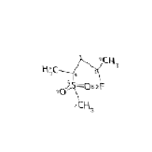 CC(F)CC(C)S(C)(=O)=O